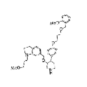 COCCCN1CCCc2ccc(COC3CNCCC3c3ccc(OCCCOCc4ccccc4OC)cc3)cc21